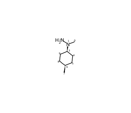 CN(N)[C@H]1CC[C@@H](C)CC1